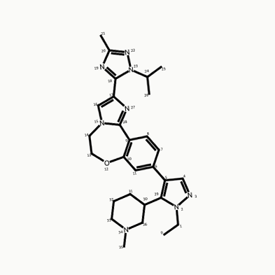 CCn1ncc(-c2ccc3c(c2)OCCn2cc(-c4nc(C)nn4C(C)C)nc2-3)c1C1CCCN(C)C1